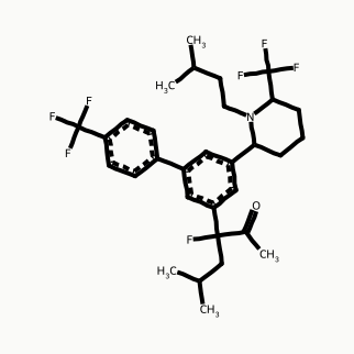 CC(=O)C(F)(CC(C)C)c1cc(-c2ccc(C(F)(F)F)cc2)cc(C2CCCC(C(F)(F)F)N2CCC(C)C)c1